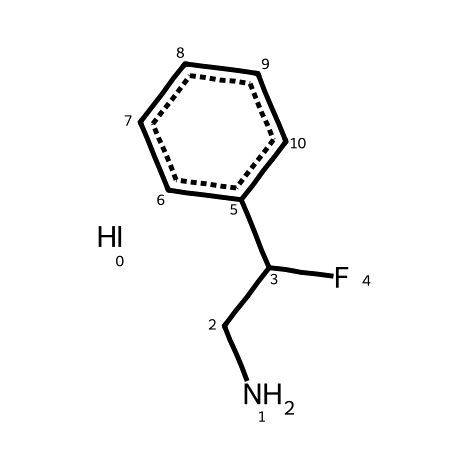 I.NCC(F)c1ccccc1